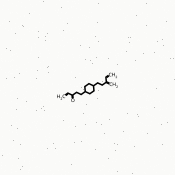 C=CC(=C)CCC1CCC(CCC(=O)C=C)CC1